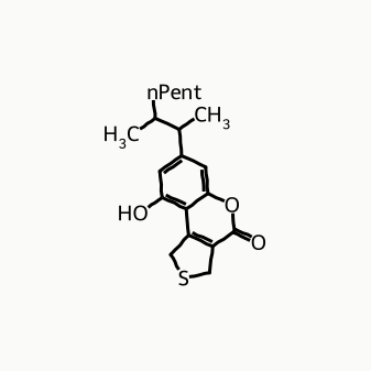 CCCCCC(C)C(C)c1cc(O)c2c3c(c(=O)oc2c1)CSC3